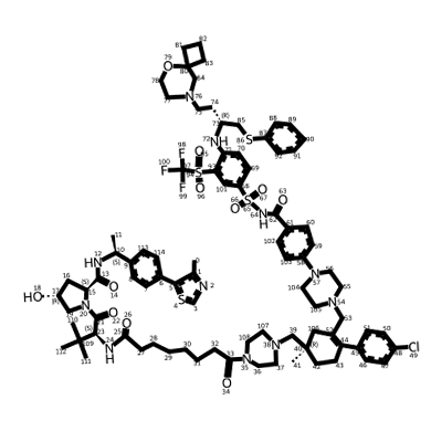 Cc1ncsc1-c1ccc([C@H](C)NC(=O)[C@@H]2C[C@@H](O)CN2C(=O)[C@@H](NC(=O)CCCCCCC(=O)N2CCN(C[C@]3(C)CCC(c4ccc(Cl)cc4)=C(CN4CCN(c5ccc(C(=O)NS(=O)(=O)c6ccc(N[C@H](CCN7CCOC8(CCC8)C7)CSc7ccccc7)c(S(=O)(=O)C(F)(F)F)c6)cc5)CC4)C3)CC2)C(C)(C)C)cc1